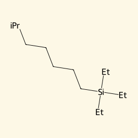 CC[Si](CC)(CC)CCCCCC(C)C